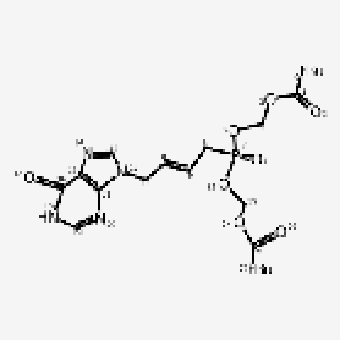 CC(C)(C)C(=O)OCOP(=O)(C/C=C/Cn1cnc2c(=O)[nH]cnc21)OCOC(=O)C(C)(C)C